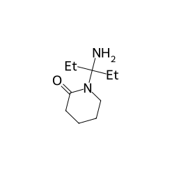 CCC(N)(CC)N1CCCCC1=O